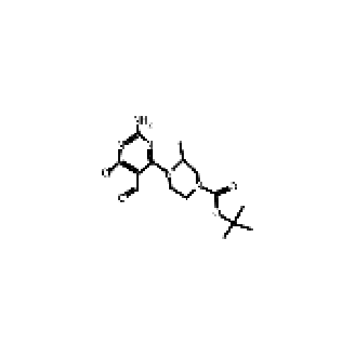 CC1CN(C(=O)OC(C)(C)C)CCN1c1nc(N)nc(Cl)c1C=O